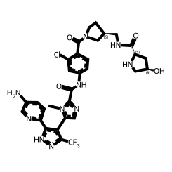 Cn1c(-c2c(C(F)(F)F)n[nH]c2-c2ccc(N)cn2)cnc1C(=O)Nc1ccc(C(=O)N2CC[C@@H](CNC(=O)[C@@H]3C[C@@H](O)CN3)C2)c(Cl)c1